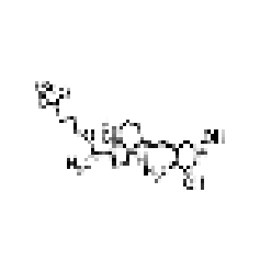 C=C1C(=CC=C2CCC[C@]3(C)C([C@H](C)OCCCC(=O)OC(C)(C)C)=CC[C@@H]23)C[C@@H](O)C[C@@H]1O